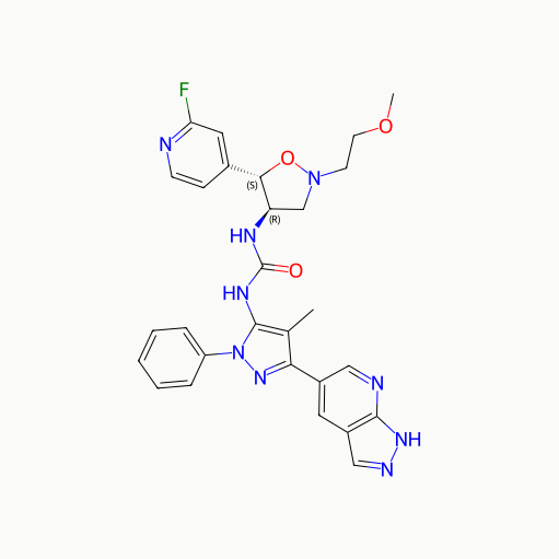 COCCN1C[C@@H](NC(=O)Nc2c(C)c(-c3cnc4[nH]ncc4c3)nn2-c2ccccc2)[C@H](c2ccnc(F)c2)O1